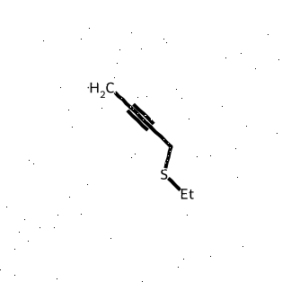 [CH2]C#CCSCC